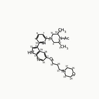 CC(=O)N1C(C)CN(c2cccc(-c3c[nH]c4ncc(OCCCN5CCOCC5)cc34)n2)CC1C